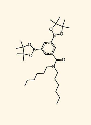 CCCCCCN(CCCCCC)C(=O)c1cc(B2OC(C)(C)C(C)(C)O2)cc(B2OC(C)(C)C(C)(C)O2)c1